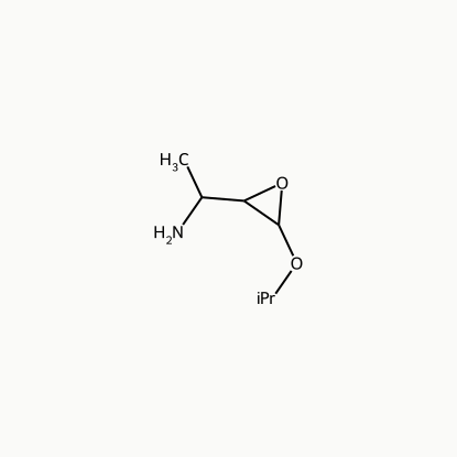 CC(C)OC1OC1C(C)N